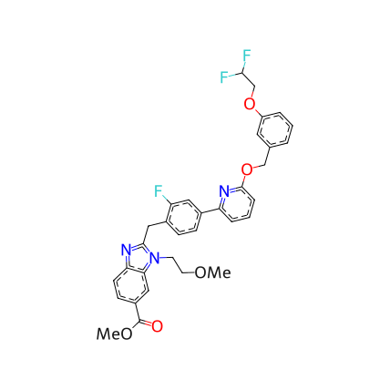 COCCn1c(Cc2ccc(-c3cccc(OCc4cccc(OCC(F)F)c4)n3)cc2F)nc2ccc(C(=O)OC)cc21